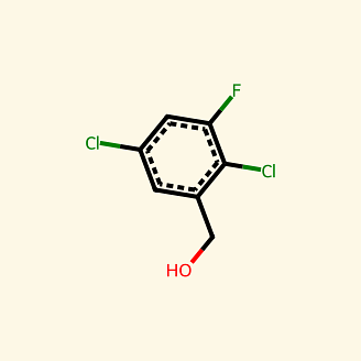 OCc1cc(Cl)cc(F)c1Cl